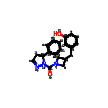 O=C(N1CC(Cc2cccc(O)c2)C1)N1N=CCC1c1ccccc1